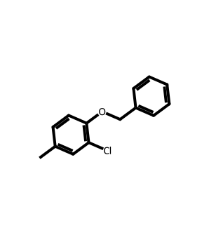 Cc1ccc(OCc2ccccc2)c(Cl)c1